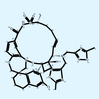 Cc1nc(CN(Cc2noc(C)n2)[C@H]2/C=C/CC[C@@H](C)S(=O)(=O)NC(=O)c3ccc4c(c3)N(C[C@@H]3CC[C@H]32)C[C@@]2(CCCc3cc(Cl)ccc32)CO4)no1